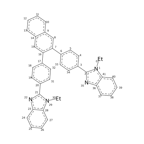 CCn1c(-c2ccc(-c3cc4ccccc4cc3-c3ccc(-c4nc5ccccc5n4CC)cc3)cc2)nc2ccccc21